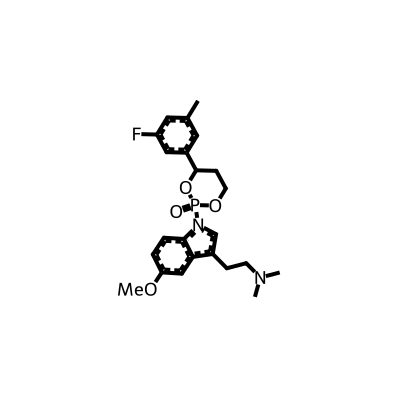 COc1ccc2c(c1)c(CCN(C)C)cn2P1(=O)OCCC(c2cc(C)cc(F)c2)O1